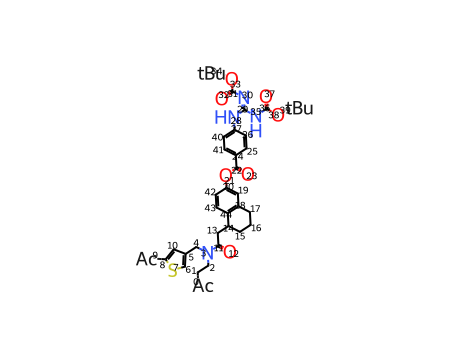 CC(=O)CCN(Cc1csc(C(C)=O)c1)C(=O)CC1CCCc2cc(OC(=O)c3ccc(N/C(=N\C(=O)OC(C)(C)C)NC(=O)OC(C)(C)C)cc3)ccc21